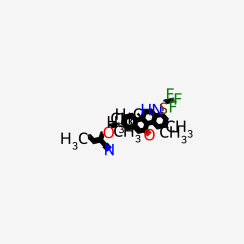 CC/C=C(/C#N)COCC(C)(C)[C@@H]1CC[C@]2(C)C(=CC(=O)C3C4CC(C)(C)CC[C@]4(NSCC(F)(F)F)CC[C@]32C)C1